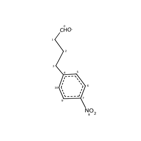 O=[C]CCCc1ccc([N+](=O)[O-])cc1